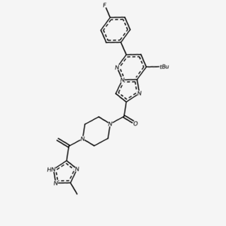 C=C(c1nc(C)n[nH]1)N1CCN(C(=O)c2cn3nc(-c4ccc(F)cc4)cc(C(C)(C)C)c3n2)CC1